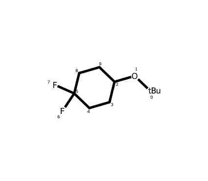 CC(C)(C)OC1CCC(F)(F)CC1